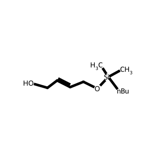 CCCC[Si](C)(C)OCC=CCO